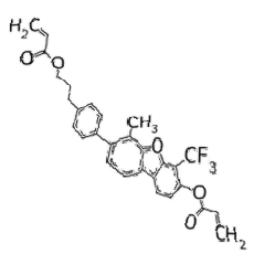 C=CC(=O)OCCCc1ccc(-c2ccc3c(oc4c(C(F)(F)F)c(OC(=O)C=C)ccc43)c2C)cc1